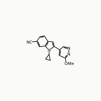 COc1cc(-c2cc3ccc(C#N)cc3n2C2CC2)cnn1